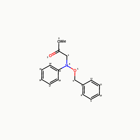 COC(=O)CN(OCc1ccccc1)c1ccccc1